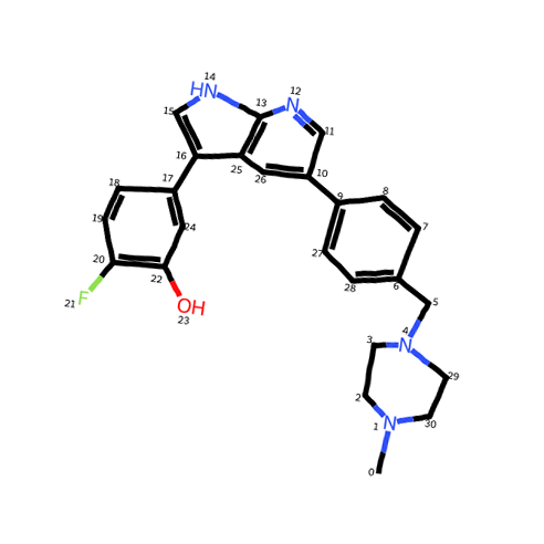 CN1CCN(Cc2ccc(-c3cnc4[nH]cc(-c5ccc(F)c(O)c5)c4c3)cc2)CC1